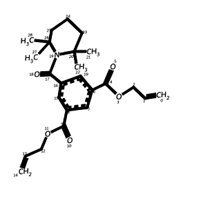 C=CCOC(=O)c1cc(C(=O)OCC=C)cc(C(=O)N2C(C)(C)CCCC2(C)C)c1